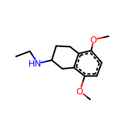 CCNC1CCc2c(OC)ccc(OC)c2C1